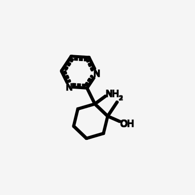 CC1(O)CCCCC1(N)c1ncccn1